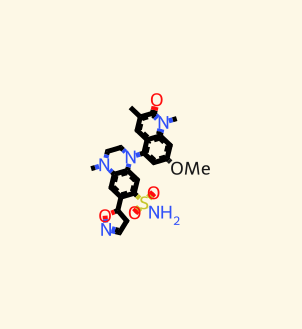 COc1cc(N2CCN(C)c3cc(C4CC=NO4)c(S(N)(=O)=O)cc32)c2cc(C)c(=O)n(C)c2c1